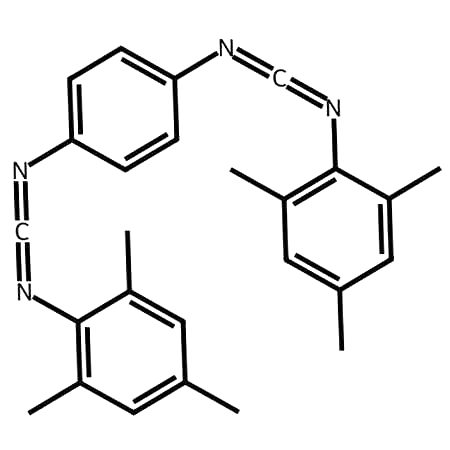 Cc1cc(C)c(N=C=Nc2ccc(N=C=Nc3c(C)cc(C)cc3C)cc2)c(C)c1